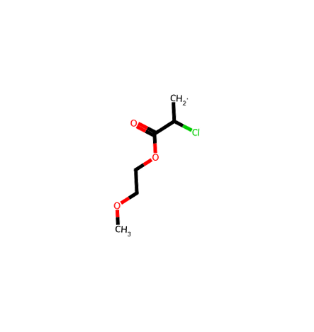 [CH2]C(Cl)C(=O)OCCOC